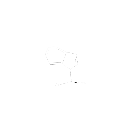 CCCCC[C@@H](CCC)n1cnc2ccccc21